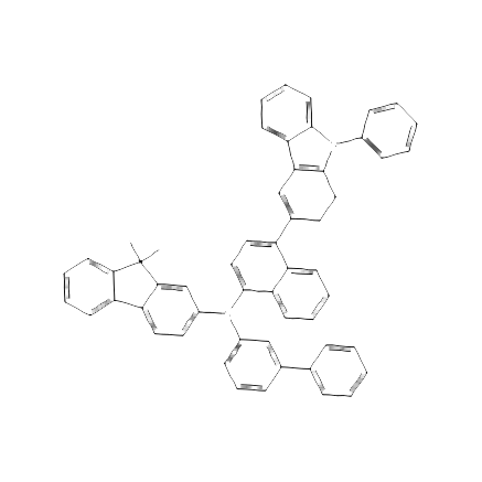 CC1(C)c2ccccc2-c2ccc(N(c3cccc(-c4ccccc4)c3)c3ccc(C4=Cc5c(n(-c6ccccc6)c6ccccc56)CC4)c4ccccc34)cc21